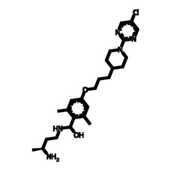 Cc1cc(OCCCC2CCN(c3ncc(Cl)cn3)CC2)cc(C)c1C(O)NCC[C@H](C)N